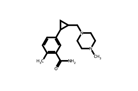 Cc1ccc(C2CC2CN2CCN(C)CC2)cc1C(N)=O